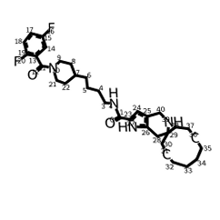 O=C(NCCCCC1CCN(C(=O)c2cc(F)ccc2F)CC1)c1cc2c([nH]1)CC1(CCCCCCCCC1)NC2